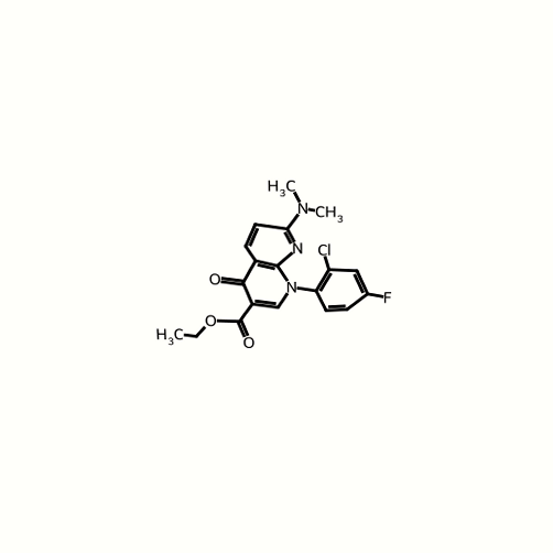 CCOC(=O)c1cn(-c2ccc(F)cc2Cl)c2nc(N(C)C)ccc2c1=O